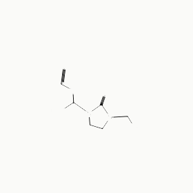 C=COC(C)N1CCN(CO)C1=O